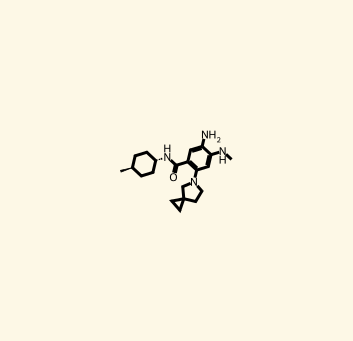 CNc1cc(N2CCC3(CC3)C2)c(C(=O)N[C@H]2CC[C@H](C)CC2)cc1N